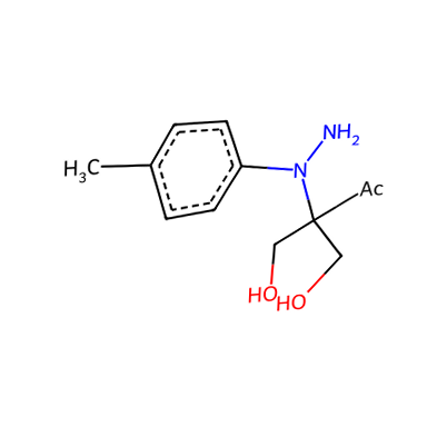 CC(=O)C(CO)(CO)N(N)c1ccc(C)cc1